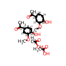 CC(=O)O.CC(=O)O.COc1cc(C(C)=O)ccc1O.COc1cc(C(C)=O)ccc1O